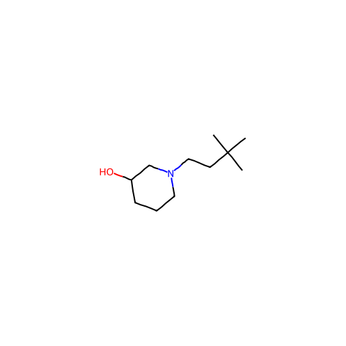 CC(C)(C)CCN1CCCC(O)C1